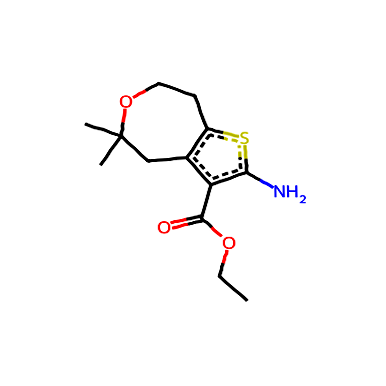 CCOC(=O)c1c(N)sc2c1CC(C)(C)OCC2